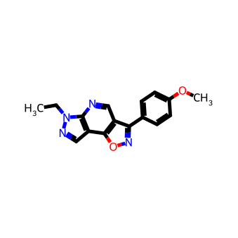 CCn1ncc2c3onc(-c4ccc(OC)cc4)c3cnc21